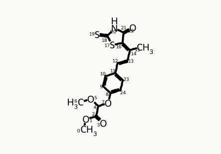 COC(=O)C(OC)Oc1ccc(C=CC(C)=C2SC(=S)NC2=O)cc1